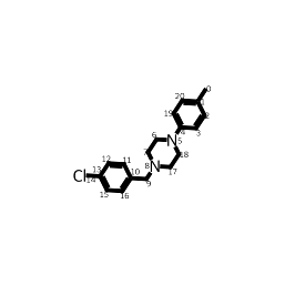 Cc1ccc(N2CCN(Cc3ccc(Cl)cc3)CC2)cc1